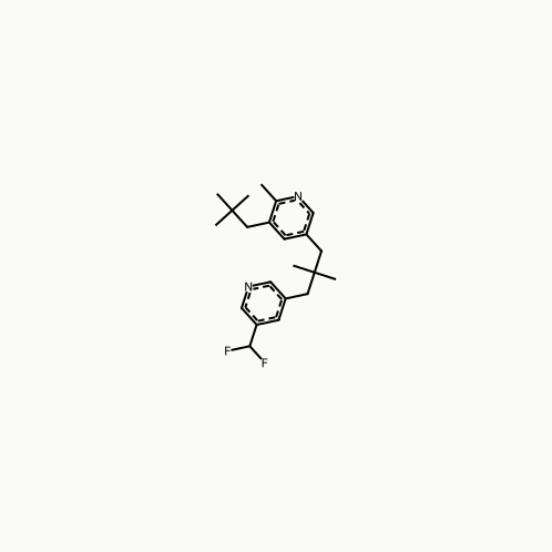 Cc1ncc(CC(C)(C)Cc2cncc(C(F)F)c2)cc1CC(C)(C)C